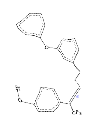 CCOc1ccc(/C(=C\CCc2cccc(Oc3ccccc3)c2)C(F)(F)F)cc1